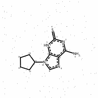 Nc1nc(=S)[nH]c2c1ncn2C1CCCC1